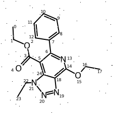 CCOC(=O)c1c(-c2ccccc2)nc(OCC)c2nnn(CC)c12